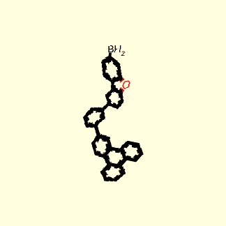 Bc1ccc2c(c1)oc1ccc(-c3cccc(-c4ccc5c6ccccc6c6ccccc6c5c4)c3)cc12